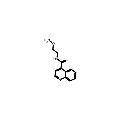 NOCCNC(=O)c1ccnc2ccccc12